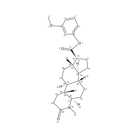 COc1cccc(OC(=O)[C@H]2CC[C@H]3[C@@H]4CC[C@H]5N(C)C(=O)CC[C@]5(C)[C@H]4CC[C@]23C)c1